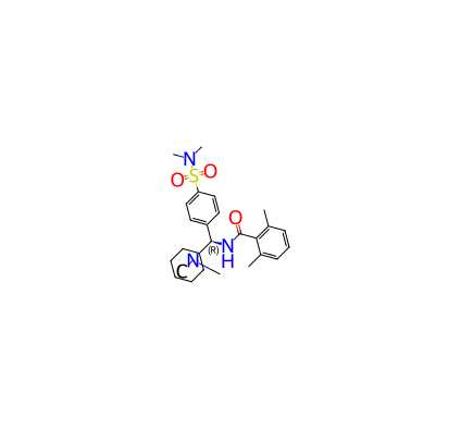 Cc1cccc(C)c1C(=O)N[C@H](c1ccc(S(=O)(=O)N(C)C)cc1)C12CCC(CC1)CN2C